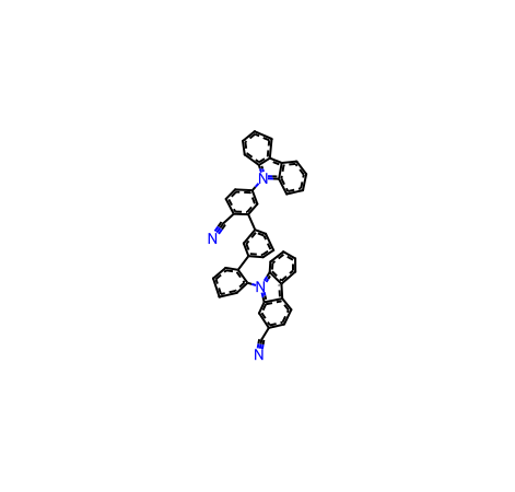 N#Cc1ccc2c3ccccc3n(-c3ccccc3-c3cccc(-c4cc(-n5c6ccccc6c6ccccc65)ccc4C#N)c3)c2c1